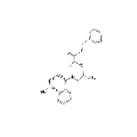 C[C@@H]1CN(c2ccc(C#N)c3ncccc23)C[C@H](C(=O)CCc2ccccc2)O1